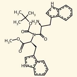 COC(=O)[C@H](Cc1c[nH]c2ccccc12)N(C(=O)OC(C)(C)C)C(=O)[C@@H](N)Cc1c[nH]c2ccccc12